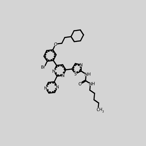 CCCCCNC(=O)Nc1ncc(-c2cc(-c3cc(OCCC4CCCCC4)ccc3Br)nc(-c3cnccn3)n2)s1